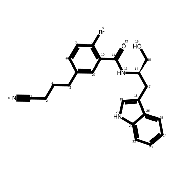 N#CCCCc1ccc(Br)c(C(=O)N[C@@H](CO)Cc2c[nH]c3ccccc23)c1